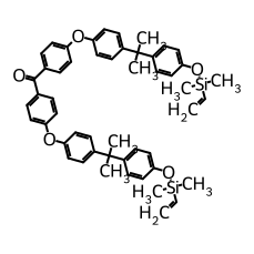 C=C[Si](C)(C)Oc1ccc(C(C)(C)c2ccc(Oc3ccc(C(=O)c4ccc(Oc5ccc(C(C)(C)c6ccc(O[Si](C)(C)C=C)cc6)cc5)cc4)cc3)cc2)cc1